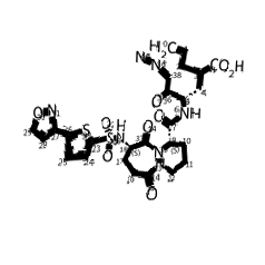 C=CCC(C[C@H](NC(=O)[C@@H]1CCCN2C(=O)CC[C@H](NS(=O)(=O)c3ccc(-c4ccon4)s3)C(=O)N12)C(=O)C=[N+]=[N-])C(=O)O